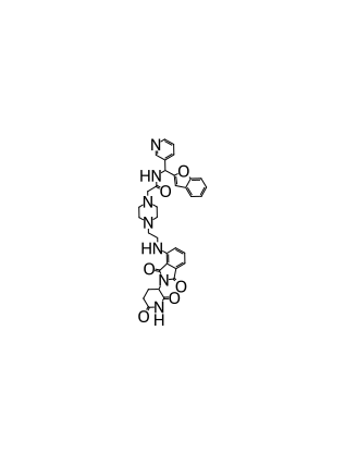 O=C1CCC(N2C(=O)c3cccc(NCCN4CCN(CC(=O)NC(c5cccnc5)c5cc6ccccc6o5)CC4)c3C2=O)C(=O)N1